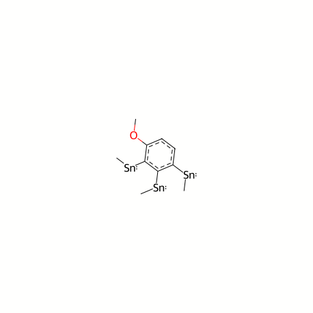 COc1cc[c]([Sn][CH3])[c]([Sn][CH3])[c]1[Sn][CH3]